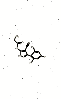 CCC(=O)Nc1[nH]nc(-c2c(Cl)cc(Cl)cc2Cl)c1C#N